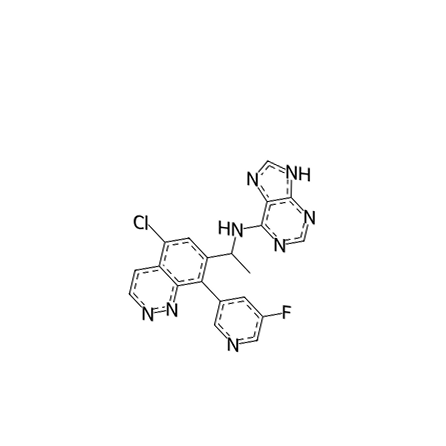 CC(Nc1ncnc2[nH]cnc12)c1cc(Cl)c2ccnnc2c1-c1cncc(F)c1